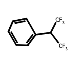 FC(F)(F)C(c1ccccc1)C(F)(F)F